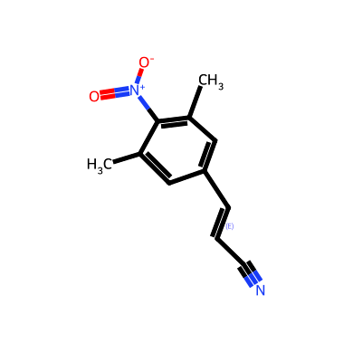 Cc1cc(/C=C/C#N)cc(C)c1[N+](=O)[O-]